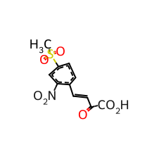 CS(=O)(=O)c1ccc(/C=C/C(=O)C(=O)O)c([N+](=O)[O-])c1